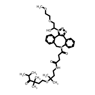 COCCOCC(O)n1nnc2c1-c1ccccc1CN(C(=O)CCC(=O)NCCC(C)(C)OCCC(C)(C)C(=O)C(C)C)c1ccccc1-2